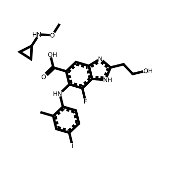 CONC1CC1.Cc1cc(I)ccc1Nc1c(C(=O)O)cc2nc(CCO)[nH]c2c1F